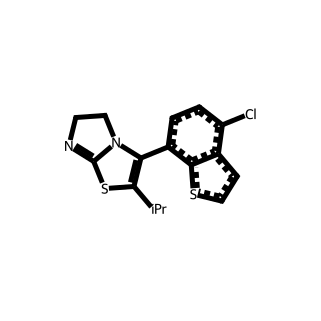 CC(C)C1=C(c2ccc(Cl)c3ccsc23)N2CCN=C2S1